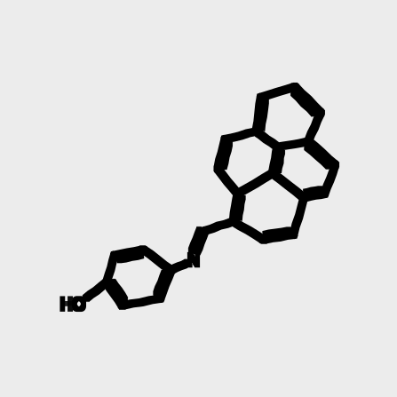 Oc1ccc(N=Cc2ccc3ccc4cccc5ccc2c3c45)cc1